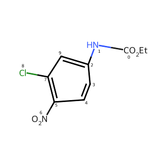 CCOC(=O)Nc1ccc([N+](=O)[O-])c(Cl)c1